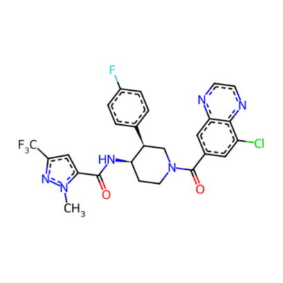 Cn1nc(C(F)(F)F)cc1C(=O)N[C@@H]1CCN(C(=O)c2cc(Cl)c3nccnc3c2)C[C@@H]1c1ccc(F)cc1